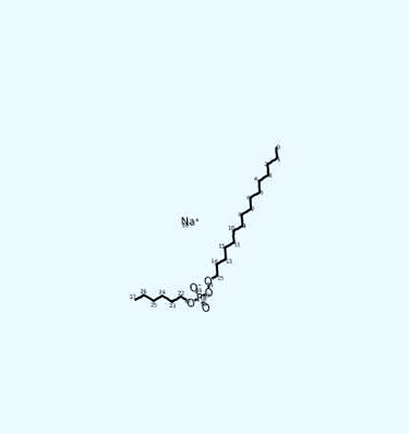 CCCCCCCCCCCCCCCCOOP(=O)([O-])OCCCCCC.[Na+]